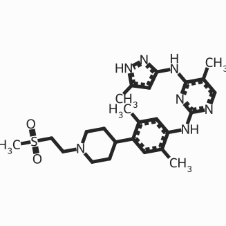 Cc1cc(Nc2nc(Nc3cc(C)c(C4CCN(CCS(C)(=O)=O)CC4)cc3C)ncc2C)n[nH]1